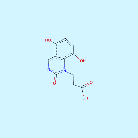 O=C(O)CCn1c(=O)ncc2c(O)ccc(O)c21